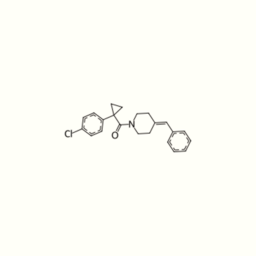 O=C(N1CCC(=Cc2ccccc2)CC1)C1(c2ccc(Cl)cc2)CC1